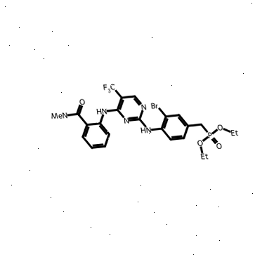 CCOP(=O)(Cc1ccc(Nc2ncc(C(F)(F)F)c(Nc3ccccc3C(=O)NC)n2)c(Br)c1)OCC